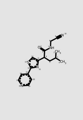 CC(C)CC(C(=O)NCC#N)c1csc(-c2ccncc2)n1